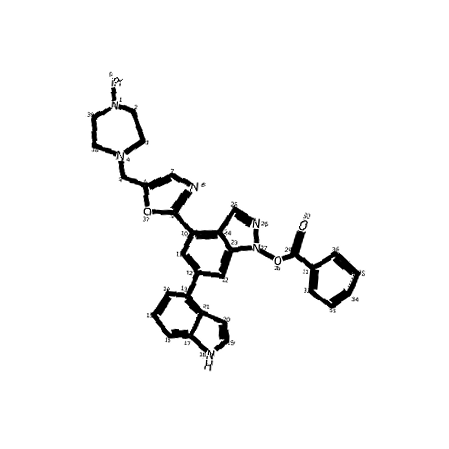 CC(C)N1CCN(Cc2cnc(-c3cc(-c4cccc5[nH]ccc45)cc4c3cnn4OC(=O)c3ccccc3)o2)CC1